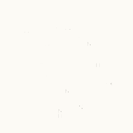 CNc1ncc(CO)cn1.Cc1ncsc1CCOP(=O)(O)O.O=P(O)(O)OP(=O)(O)O